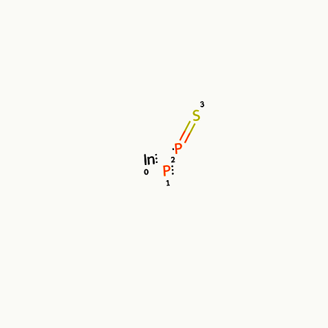 [In].[P].[P]=S